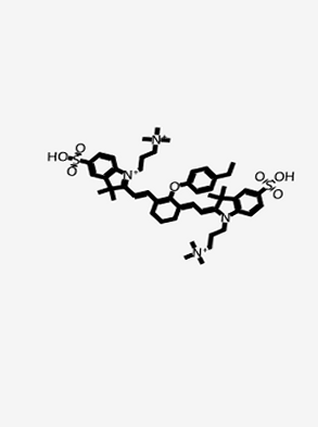 CCc1ccc(OC2=C(/C=C/C3=[N+](CCC[N+](C)(C)C)c4ccc(S(=O)(=O)O)cc4C3(C)C)CCC/C2=C\C=C2\N(CCC[N+](C)(C)C)c3ccc(S(=O)(=O)O)cc3C2(C)C)cc1